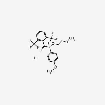 COCCOP(C(=O)c1c(C(F)(F)F)cccc1C(F)(F)F)c1ccc(OC)cc1.[Li]